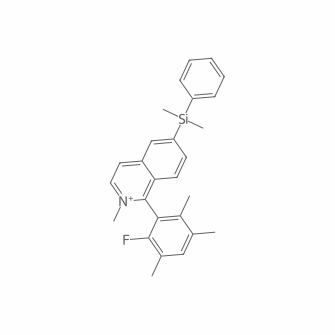 Cc1cc(C)c(F)c(-c2c3ccc([Si](C)(C)c4ccccc4)cc3cc[n+]2C)c1C